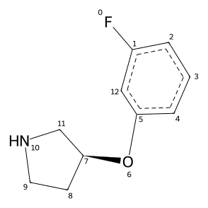 Fc1cccc(O[C@H]2CCNC2)c1